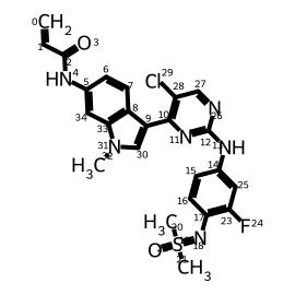 C=CC(=O)Nc1ccc2c(-c3nc(Nc4ccc(N=S(C)(C)=O)c(F)c4)ncc3Cl)cn(C)c2c1